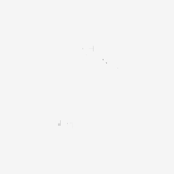 CCCCCCCCc1ccc(C(=O)O)c([N+](=O)[O-])c1